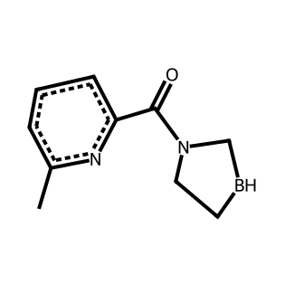 Cc1cccc(C(=O)N2CBCC2)n1